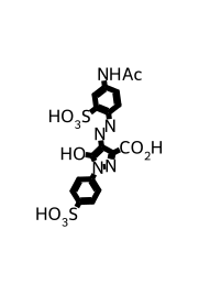 CC(=O)Nc1ccc(N=Nc2c(C(=O)O)nn(-c3ccc(S(=O)(=O)O)cc3)c2O)c(S(=O)(=O)O)c1